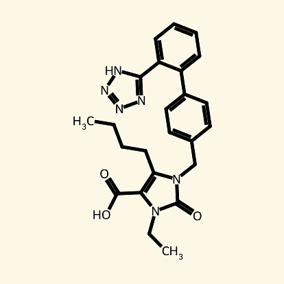 CCCCc1c(C(=O)O)n(CC)c(=O)n1Cc1ccc(-c2ccccc2-c2nnn[nH]2)cc1